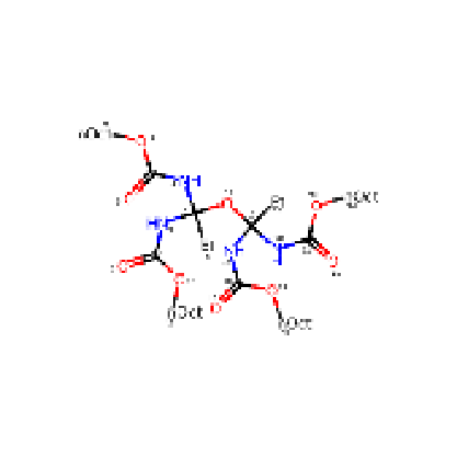 CCCCCCCCOC(=O)NC(CC)(NC(=O)OCCCCCCCC)OC(CC)(NC(=O)OCCCCCCCC)NC(=O)OCCCCCCCC